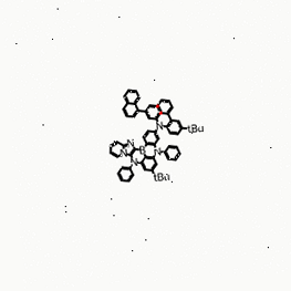 CC(C)(C)c1ccc(N(c2cccc(-c3cccc4ccccc34)c2)c2ccc3c(c2)N(c2ccccc2)c2cc(C(C)(C)C)cc4c2B3c2nc3ccccn3c2N4c2ccccc2)c(-c2ccccc2)c1